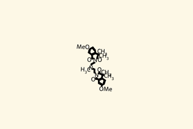 COc1ccc2c(c1)C(=O)N(CCN(C)CCN1C(=O)c3cc(OC)ccc3C(C)(C)C1=O)C(=O)C2(C)C